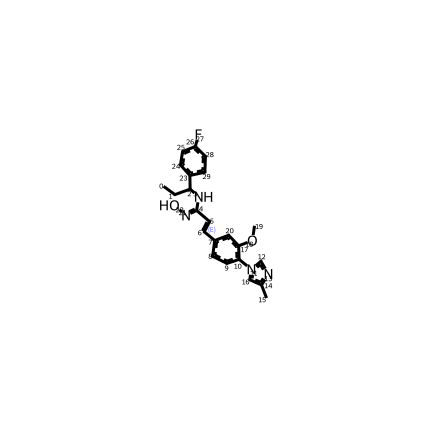 CCC(NC(/C=C/c1ccc(-n2cnc(C)c2)c(OC)c1)=NO)c1ccc(F)cc1